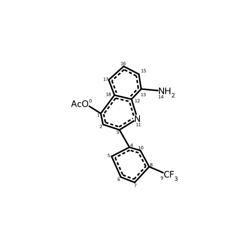 CC(=O)Oc1cc(-c2cccc(C(F)(F)F)c2)nc2c(N)cccc12